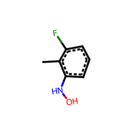 Cc1c(F)cccc1NO